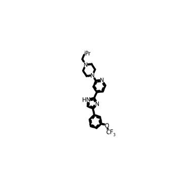 CC(C)CN1CCN(c2cc(-c3nc(-c4cccc(OC(F)(F)F)c4)c[nH]3)ccn2)CC1